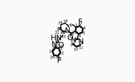 Cc1c(F)ccc(-c2ncccn2)c1C(=O)N1CCC[C@@H](C)[C@H]1CNc1nc2ccc(F)cc2o1